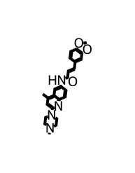 Cc1cc(N2CCN(C)CC2)nc2ccc(NC(=O)/C=C/c3ccc4c(c3)OCO4)cc12